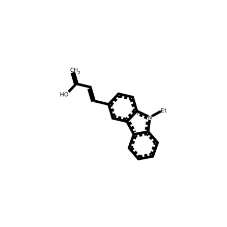 C=C(O)/C=C/c1ccc2c(c1)c1ccccc1n2CC